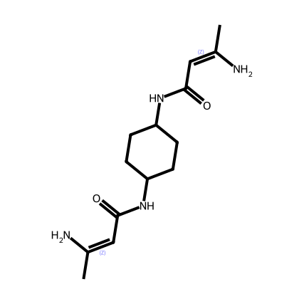 C/C(N)=C/C(=O)NC1CCC(NC(=O)/C=C(/C)N)CC1